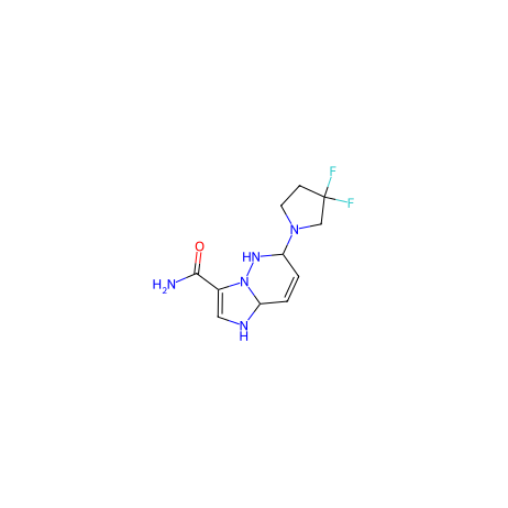 NC(=O)C1=CNC2C=CC(N3CCC(F)(F)C3)NN12